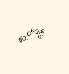 Cc1cc2nccn2cc1-c1ccc(OC2CCN(C(=O)[C@H]3CCCO3)CC2)cc1